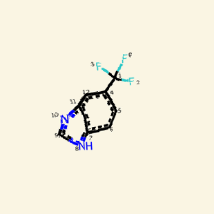 FC(F)(F)c1ccc2[nH][c]nc2c1